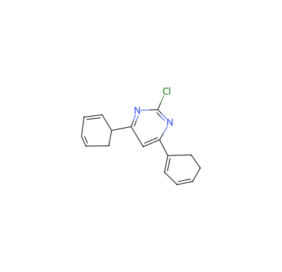 Clc1nc(C2=CC=CCC2)cc(C2C=CC=CC2)n1